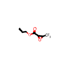 C=CCOC(=O)C1OC1C(F)(F)F